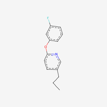 CCCc1ccc(Oc2cccc(F)c2)nc1